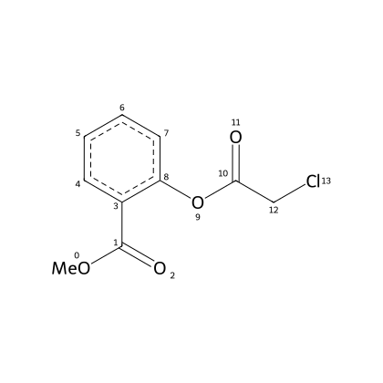 COC(=O)c1ccccc1OC(=O)CCl